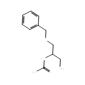 CC(C)(C)C(=O)NC(CO)COCc1ccccc1